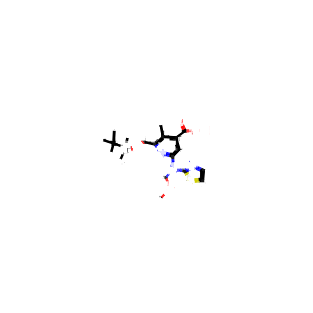 COCN(c1cc(C(=O)O)c(C)c(CO[Si](C)(C)C(C)(C)C)n1)c1nccs1